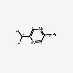 CC(C)c1cnc(C(C)F)cn1